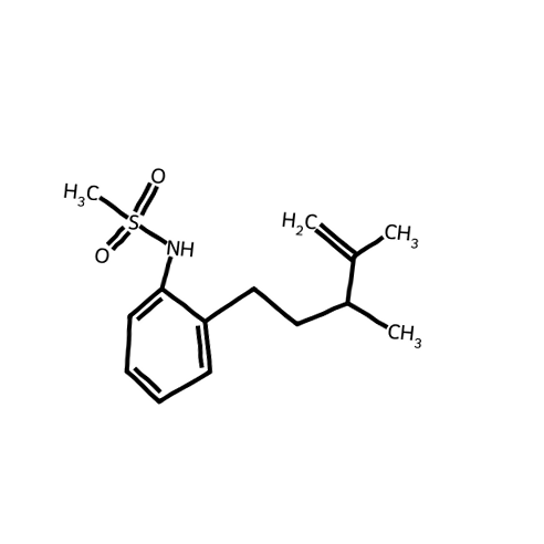 C=C(C)C(C)CCc1ccccc1NS(C)(=O)=O